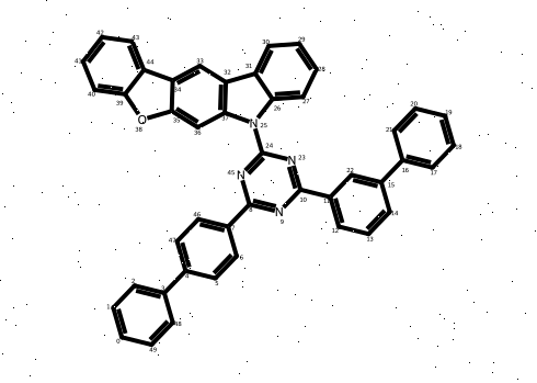 c1ccc(-c2ccc(-c3nc(-c4cccc(-c5ccccc5)c4)nc(-n4c5ccccc5c5cc6c(cc54)oc4ccccc46)n3)cc2)cc1